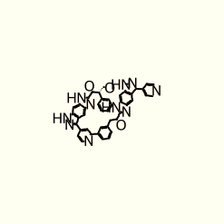 COC[C@@H](C(=O)c1nc2cc3c(-c4ccnc(-c5cccc(CC(=O)c6nc7cc8c(-c9ccncc9)n[nH]c8cc7[nH]6)c5)c4)n[nH]c3cc2[nH]1)c1ccccc1